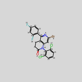 O=C1CCc2c(cc(Br)nc2-c2ccc(F)cc2F)N1c1c(Cl)cccc1Cl